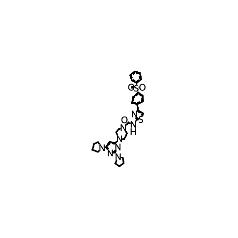 O=C(Nc1nc(-c2ccc(S(=O)(=O)c3ccccc3)cc2)cs1)N1CCN(c2cc(N3CCCC3)nc(N3CCCC3)n2)CC1